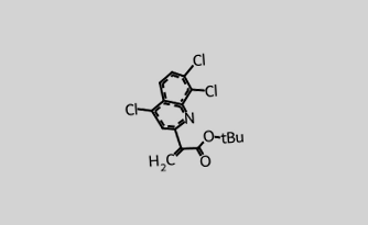 C=C(C(=O)OC(C)(C)C)c1cc(Cl)c2ccc(Cl)c(Cl)c2n1